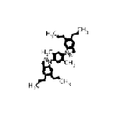 CCCc1cc2cnn(-c3cc(C)c(-n4ncc5cc(CCC)c(CCC)cc54)cc3C)c2cc1CCC